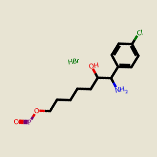 Br.NC(c1ccc(Cl)cc1)C(O)CCCCCOP=O